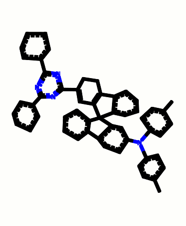 Cc1ccc(N(c2ccc(C)cc2)c2ccc3c(c2)C2(C4=C(CCC(c5nc(-c6ccccc6)nc(-c6ccccc6)n5)=C4)c4ccccc42)c2ccccc2-3)cc1